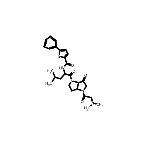 CC(C)CC(NC(=O)c1ccc(-c2ccccc2)s1)C(=O)N1CCC2C1C(=O)CN2C(=O)CN(C)C